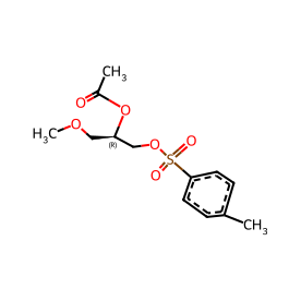 COC[C@H](COS(=O)(=O)c1ccc(C)cc1)OC(C)=O